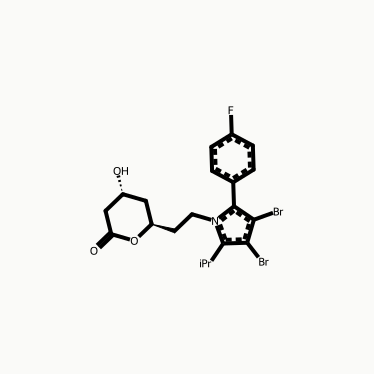 CC(C)c1c(Br)c(Br)c(-c2ccc(F)cc2)n1CC[C@@H]1C[C@@H](O)CC(=O)O1